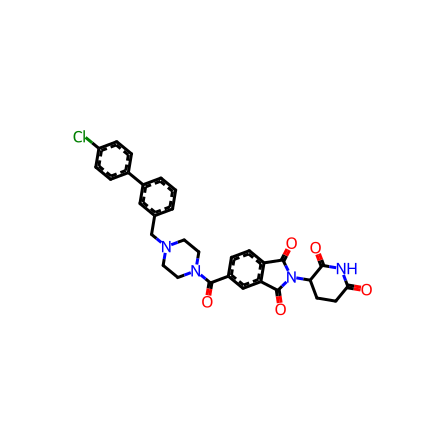 O=C1CCC(N2C(=O)c3ccc(C(=O)N4CCN(Cc5cccc(-c6ccc(Cl)cc6)c5)CC4)cc3C2=O)C(=O)N1